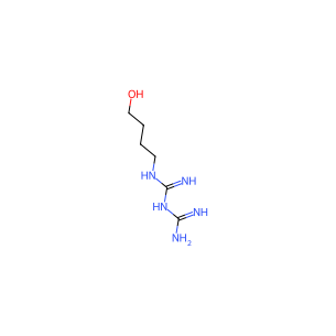 N=C(N)NC(=N)NCCCCO